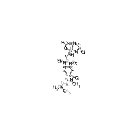 CCn1c(CNC(=O)c2nc(Cl)cnc2N)[n+](CC)c2ccc(C(=O)N(C)CCCN(C)C)cc21